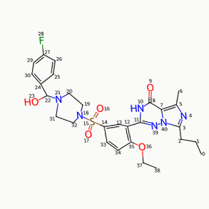 CCCc1nc(C)c2c(=O)[nH]c(-c3cc(S(=O)(=O)N4CCN(C(O)c5ccc(F)cc5)CC4)ccc3OCC)nn12